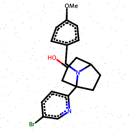 COc1ccc(CN2C3CCC2(c2ccc(Br)cn2)CC(O)C3)cc1